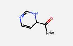 CNC(=O)C1C=CN=CN1